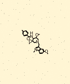 COc1ccc2c(c1)c(CN1CC(OC)C(NC(=O)c3ccc(C)cc3)C(OC)C1)cn2C